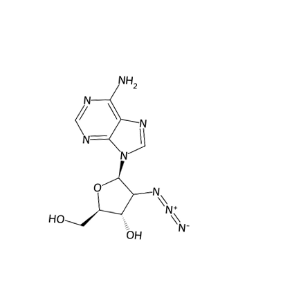 [N-]=[N+]=NC1[C@H](n2cnc3c(N)ncnc32)O[C@H](CO)[C@H]1O